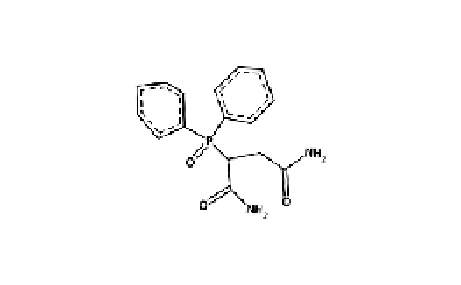 NC(=O)CC(C(N)=O)P(=O)(c1ccccc1)c1ccccc1